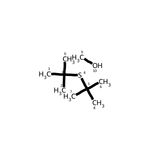 CC(C)(C)SC(C)(C)C.CO